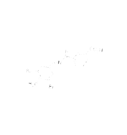 Cc1c(Br)cc(/C=N/Nc2cccc(C(=O)O)c2)cc1Br